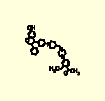 CCc1cc(N2CCN(CC3CCN(c4ccc(C5c6ccc(O)cc6OCC5c5ccccc5)cc4)CC3)CC2)ccc1C(C)=O